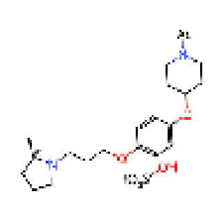 CC(=O)N1CCC(Oc2ccc(OCCCN3CCC[C@H]3C)cc2)CC1.O=S(=O)(O)O